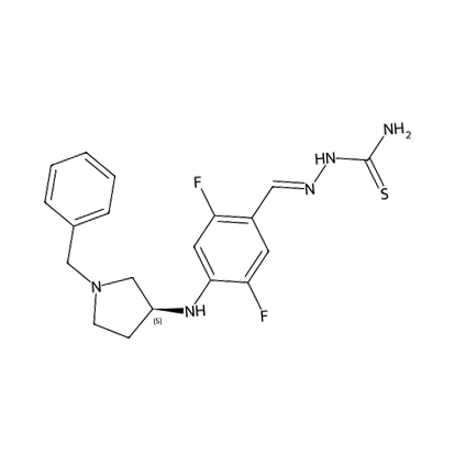 NC(=S)NN=Cc1cc(F)c(N[C@H]2CCN(Cc3ccccc3)C2)cc1F